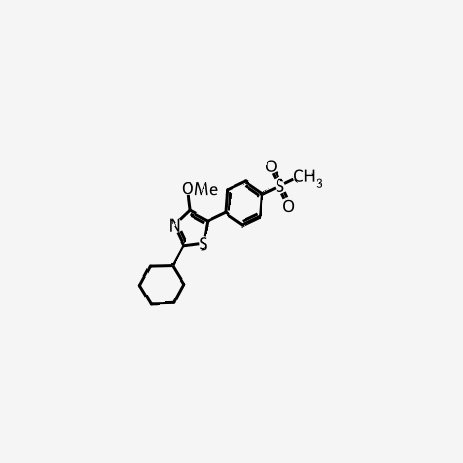 COc1nc(C2CCCCC2)sc1-c1ccc(S(C)(=O)=O)cc1